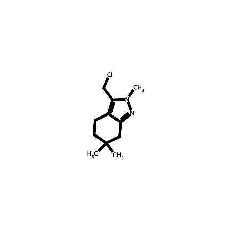 Cn1nc2c(c1CCl)CCC(C)(C)C2